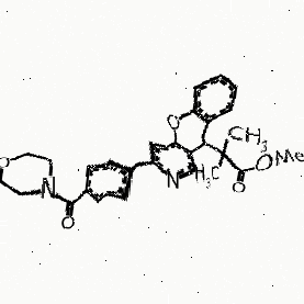 COC(=O)C(C)(C)C1c2ccccc2Oc2cc(-c3ccc(C(=O)N4CCOCC4)cc3)ncc21